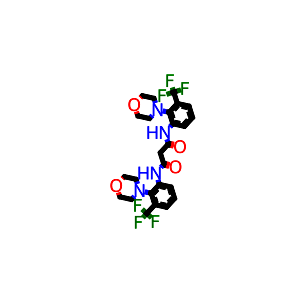 O=C(CC(=O)Nc1cccc(C(F)(F)F)c1N1CCOCC1)Nc1cccc(C(F)(F)F)c1N1CCOCC1